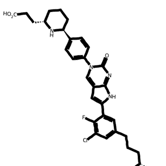 C[C@H](N)CCCc1cc(Cl)c(F)c(-c2cc3cn(-c4ccc([C@@H]5CCC[C@@H](CCC(=O)O)N5)cc4)c(=O)nc3[nH]2)c1